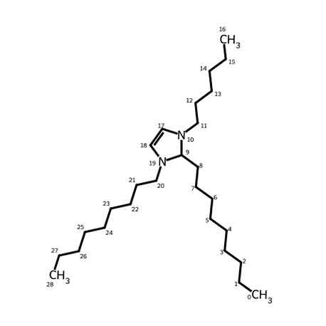 CCCCCCCCCC1N(CCCCCC)C=CN1CCCCCCCCC